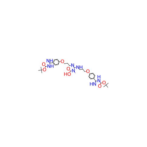 CN(C(=O)O)/C(=N\CCCOc1ccc(C(=N)NC(=O)OC(C)(C)C)cc1)NCCCOc1ccc(C(=N)NC(=O)OC(C)(C)C)cc1